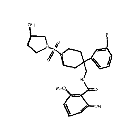 COc1cccc(O)c1C(=O)NCC1(c2cccc(F)c2)CCN(S(=O)(=O)N2CCC(O)C2)CC1